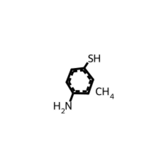 C.Nc1ccc(S)cc1